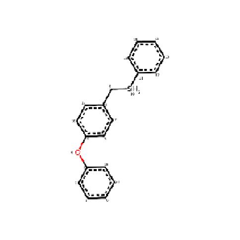 c1ccc(Oc2ccc(C[SiH2]c3ccccc3)cc2)cc1